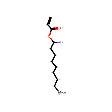 C=CC(=O)OC(I)CCCCCCCCCCCCCCCC